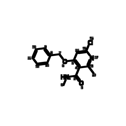 CNC(=O)c1c(OCc2ccccc2)cc(Cl)nc1C